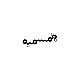 O=C(/C=C/c1ccc(CCCCCCc2ccc(N3C(=O)C=CC3=O)cc2)cc1)c1ccccc1